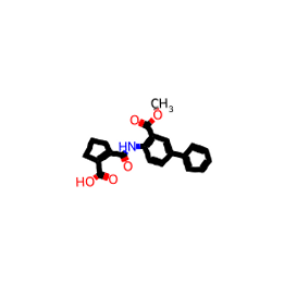 COC(=O)c1cc(-c2ccccc2)ccc1NC(=O)C1=C(C(=O)O)CCC1